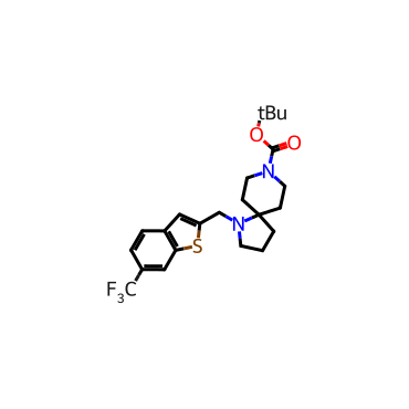 CC(C)(C)OC(=O)N1CCC2(CCCN2Cc2cc3ccc(C(F)(F)F)cc3s2)CC1